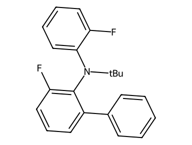 CC(C)(C)N(c1ccccc1F)c1c(F)cccc1-c1ccccc1